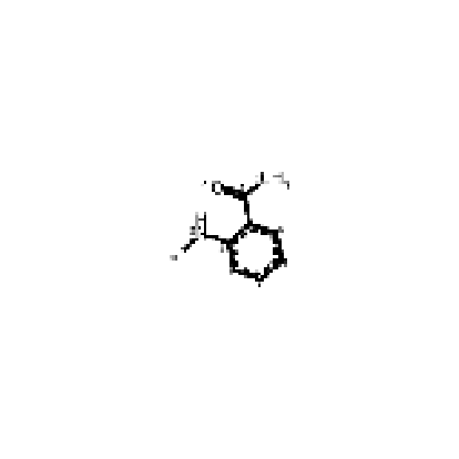 CC(=O)c1ccccc1NI